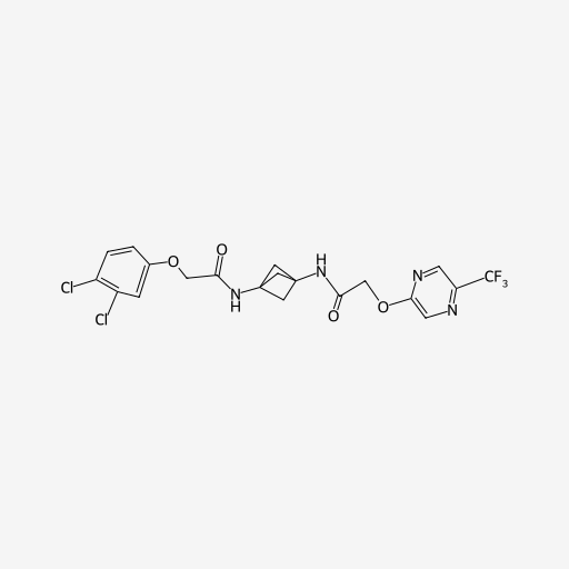 O=C(COc1ccc(Cl)c(Cl)c1)NC12CC(NC(=O)COc3cnc(C(F)(F)F)cn3)(C1)C2